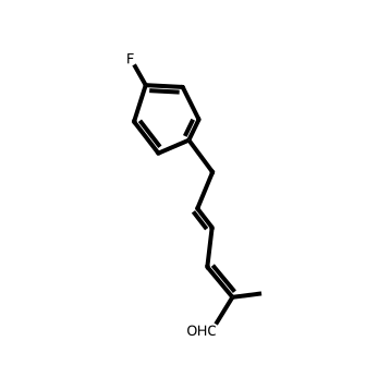 CC(C=O)=CC=CCc1ccc(F)cc1